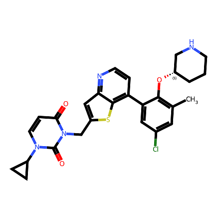 Cc1cc(Cl)cc(-c2ccnc3cc(Cn4c(=O)ccn(C5CC5)c4=O)sc23)c1O[C@H]1CCCNC1